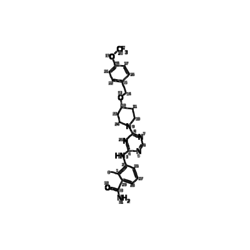 Cc1c(Nc2ncnc(N3CCC(OCc4ccc(OC(F)(F)F)cc4)CC3)n2)cccc1C(N)=O